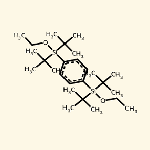 CCO[Si](c1ccc([Si](OCC)(C(C)(C)C)C(C)(C)C)cc1)(C(C)(C)C)C(C)(C)C